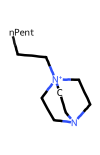 CCCCCCC[N+]12CCN(CC1)CC2